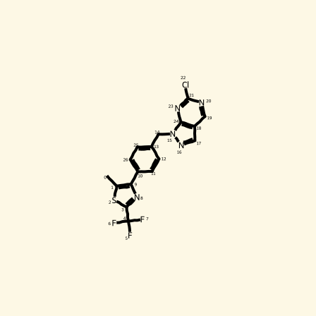 Cc1sc(C(F)(F)F)nc1-c1ccc(Cn2ncc3cnc(Cl)nc32)cc1